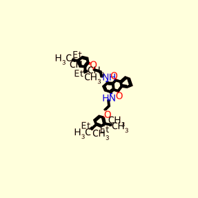 CCC(C)(C)c1ccc(OCCCNc2ccc(NCCCOc3ccc(C(C)(C)CC)cc3C(C)(C)CC)c3c2C(=O)c2ccccc2C3=O)c(C(C)(C)CC)c1